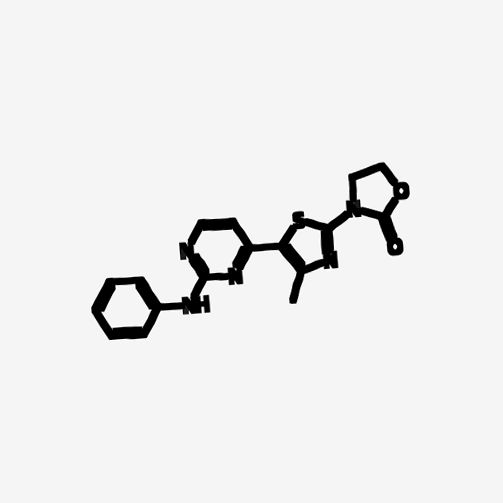 Cc1nc(N2CCOC2=O)sc1-c1ccnc(Nc2ccccc2)n1